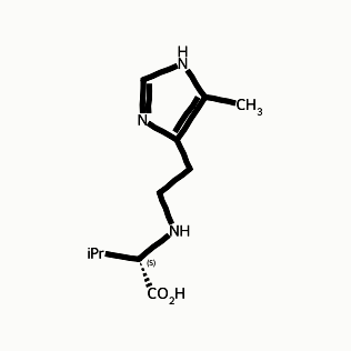 Cc1[nH]cnc1CCN[C@H](C(=O)O)C(C)C